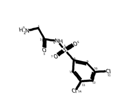 NCC(=O)NS(=O)(=O)c1cc(Cl)cc(Cl)c1